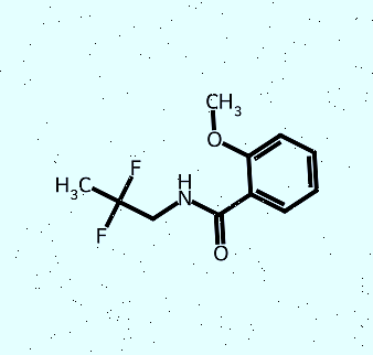 COc1ccccc1C(=O)NCC(C)(F)F